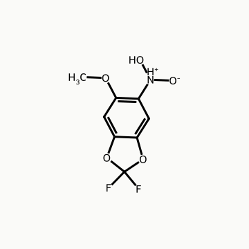 COc1cc2c(cc1[NH+]([O-])O)OC(F)(F)O2